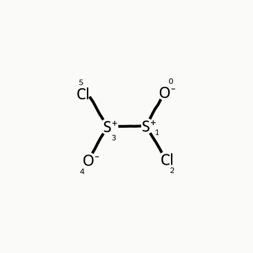 [O-][S+](Cl)[S+]([O-])Cl